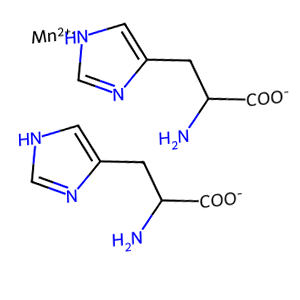 NC(Cc1c[nH]cn1)C(=O)[O-].NC(Cc1c[nH]cn1)C(=O)[O-].[Mn+2]